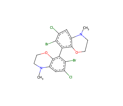 CN1CCOc2c1cc(Cl)c(Br)c2-c1c(Br)c(Cl)cc2c1OCCN2C